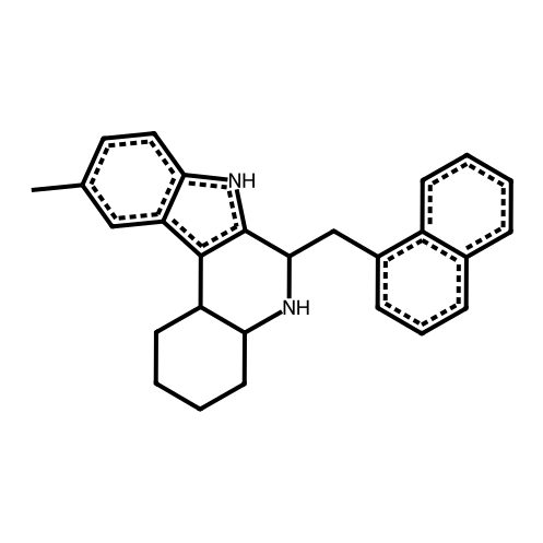 Cc1ccc2[nH]c3c(c2c1)C1CCCCC1NC3Cc1cccc2ccccc12